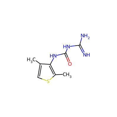 Cc1csc(C)c1NC(=O)NC(=N)N